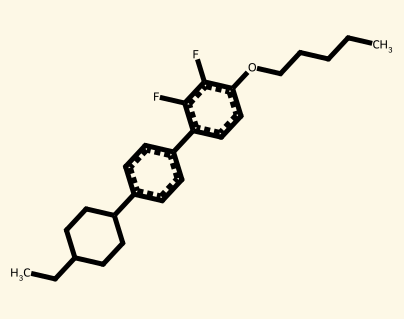 CCCCCOc1ccc(-c2ccc(C3CCC(CC)CC3)cc2)c(F)c1F